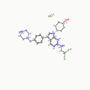 Cl.O[C@H]1CC[C@H](n2cc(-c3ccc(CN4CCNCC4)cc3)c3cnc(NCC(F)F)nc32)CC1